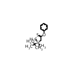 CC(C)(C)[Si](C)(C)CC(=S)Oc1ccccc1